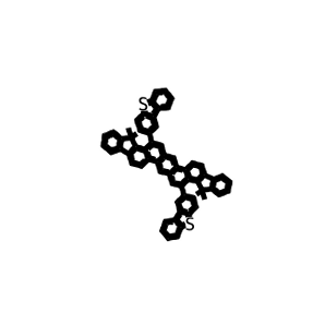 CC1(C)c2ccccc2-c2ccc3c(c(-c4ccc5sc6ccccc6c5c4)cc4cc5c(cc(-c6ccc7sc8ccccc8c7c6)c6c7c(ccc65)-c5ccccc5C7(C)C)cc43)c21